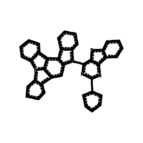 c1ccc(-c2nc(-n3c4ccccc4c4c5c6ccccc6n6c7ccccc7c(cc43)c56)c3sc4ccccc4c3n2)cc1